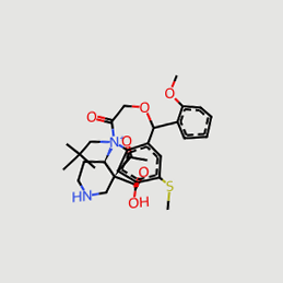 COc1ccccc1C1OCC(=O)[N+](CC(C)(C)C)([C@@H]2CCNC[C@@]2(C(C)=O)C(=O)O)c2ccc(SC)cc21